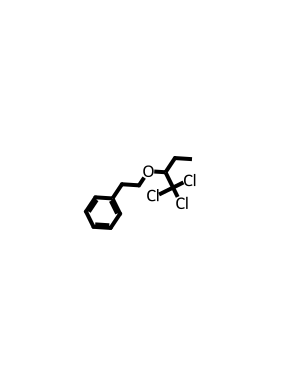 CCC(OCCc1ccccc1)C(Cl)(Cl)Cl